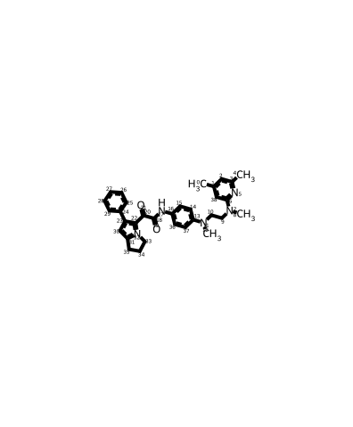 Cc1cc(C)nc(N(C)CCN(C)c2ccc(NC(=O)C(=O)c3c(-c4ccccc4)cc4n3CCC4)cc2)c1